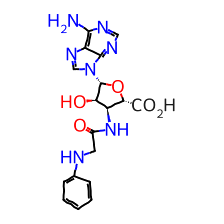 Nc1ncnc2c1ncn2[C@@H]1O[C@H](C(=O)O)[C@@H](NC(=O)CNc2ccccc2)[C@H]1O